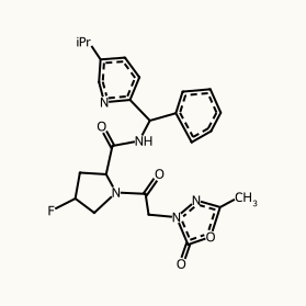 Cc1nn(CC(=O)N2CC(F)CC2C(=O)NC(c2ccccc2)c2ccc(C(C)C)cn2)c(=O)o1